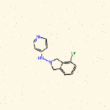 Brc1cccc2c1CN(Nc1ccncc1)C2